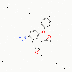 Cc1ccccc1Oc1ccc(N)c(CC2CO2)c1CC1CO1